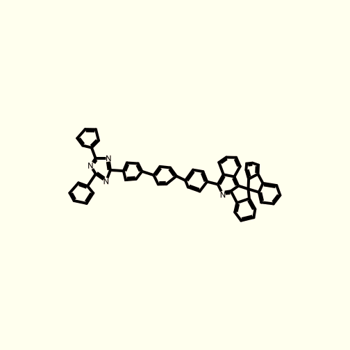 c1ccc(-c2nc(-c3ccccc3)nc(-c3ccc(-c4ccc(-c5ccc(-c6nc7c(c8ccccc68)C6(c8ccccc8-c8ccccc86)c6ccccc6-7)cc5)cc4)cc3)n2)cc1